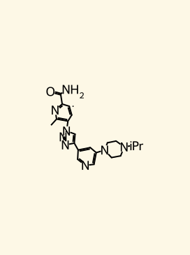 Cc1nc(C(N)=O)[c]cc1-n1cc(-c2cncc(N3CCN(C(C)C)CC3)c2)nn1